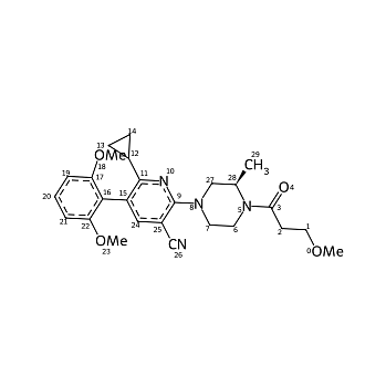 COCCC(=O)N1CCN(c2nc(C3CC3)c(-c3c(OC)cccc3OC)cc2C#N)C[C@H]1C